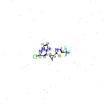 FC(F)(F)c1cnc([C@H]2C[C@@H]2c2cc(Cl)nn3ccnc23)s1